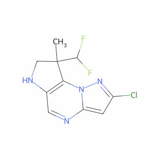 CC1(C(F)F)CNc2cnc3cc(Cl)nn3c21